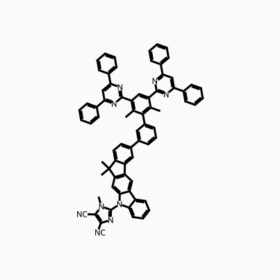 [C-]#[N+]c1nc(-n2c3ccccc3c3cc4c(cc32)C(C)(C)c2ccc(-c3cccc(-c5c(C)c(-c6nc(-c7ccccc7)cc(-c7ccccc7)n6)cc(-c6nc(-c7ccccc7)cc(-c7ccccc7)n6)c5C)c3)cc2-4)n(C)c1C#N